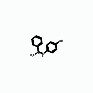 C[C@H](Nc1ccc(O)cc1)c1ccccc1